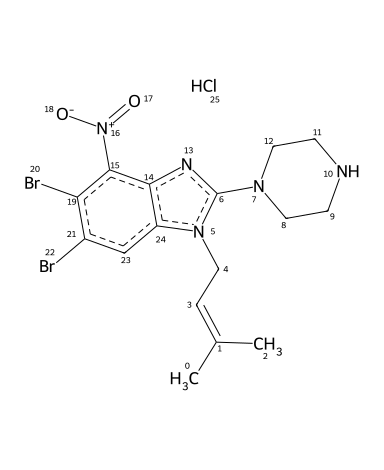 CC(C)=CCn1c(N2CCNCC2)nc2c([N+](=O)[O-])c(Br)c(Br)cc21.Cl